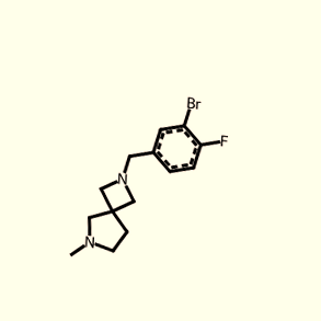 CN1CCC2(C1)CN(Cc1ccc(F)c(Br)c1)C2